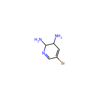 NC1C=C(Br)C=NC1N